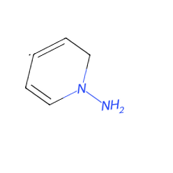 NN1C=C[C]=CC1